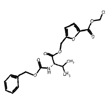 CC(C)[C@H](NC(=O)OCc1ccccc1)C(=O)OCc1ccc(C(=O)OCCl)o1